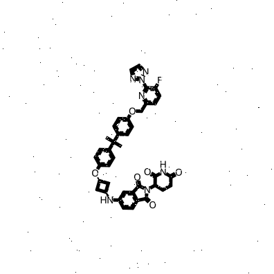 CC(C)(c1ccc(OCc2ccc(F)c(-n3nccn3)n2)cc1)c1ccc(O[C@H]2C[C@H](Nc3ccc4c(c3)C(=O)N(C3CCC(=O)NC3=O)C4=O)C2)cc1